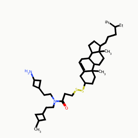 CCC(CCCC1CCC2C3CC=C4CC(SSCCC(=O)N(CCC5CC(C)C5)CCC5CC(N)C5)CCC4(C)C3CCC12C)C(C)C